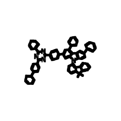 CC1(C)c2ccccc2-c2c(-n3c4ccc(-c5ccccc5)cc4c4c(-c5ccccc5)cc(-c5ccc(-c6nc(-c7ccccc7)nc(-c7ccc(-c8ccccc8)cc7)n6)cc5)cc43)cccc21